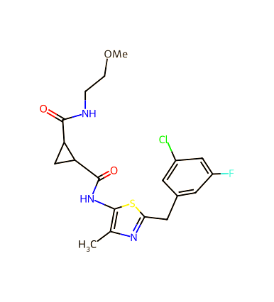 COCCNC(=O)C1CC1C(=O)Nc1sc(Cc2cc(F)cc(Cl)c2)nc1C